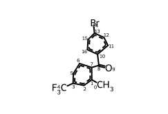 Cc1cc(C(F)(F)F)ccc1C(=O)c1ccc(Br)cc1